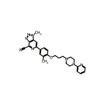 Cc1cc(-c2cc3c(nnn3C)c(C#N)n2)ccc1OCCCN1CCN(c2ccccn2)CC1